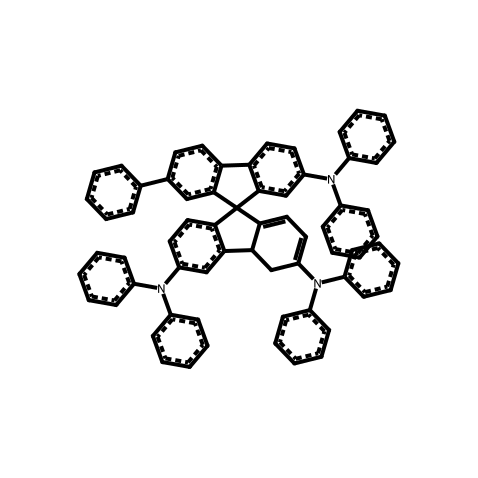 C1=C(N(c2ccccc2)c2ccccc2)CC2C(=C1)C1(c3cc(-c4ccccc4)ccc3-c3ccc(N(c4ccccc4)c4ccccc4)cc31)c1ccc(N(c3ccccc3)c3ccccc3)cc12